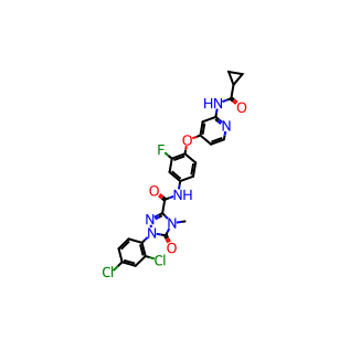 Cn1c(C(=O)Nc2ccc(Oc3ccnc(NC(=O)C4CC4)c3)c(F)c2)nn(-c2ccc(Cl)cc2Cl)c1=O